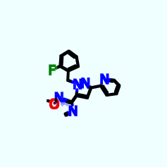 C=N/C(=N\OC)c1cc(-c2ccccn2)nn1Cc1ccccc1F